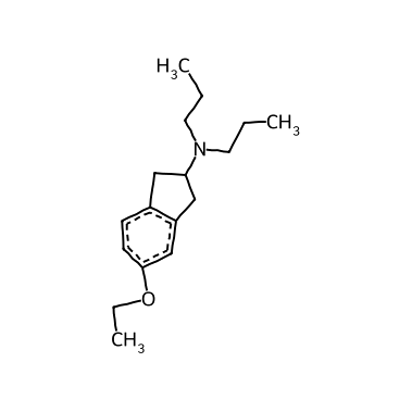 CCCN(CCC)C1Cc2ccc(OCC)cc2C1